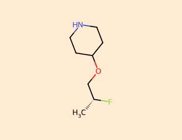 C[C@@H](F)COC1CCNCC1